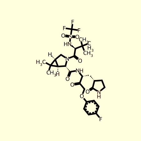 CC(C)(C)[C@H](NS(=O)(=O)C(F)(F)F)C(=O)N1C[C@H]2[C@@H]([C@H]1C(=O)N[C@H](C[C@@H]1CCNC1=O)C(=O)COc1ccc(F)cc1)C2(C)C